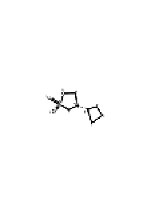 O=S1(=O)C[C@@H](C2CCC2)CO1